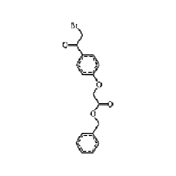 O=C(COc1ccc(C(=O)CBr)cc1)OCc1ccccc1